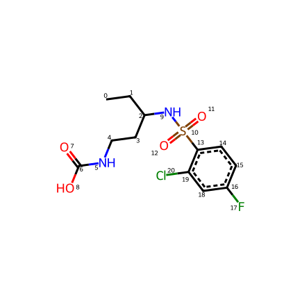 CCC(CCNC(=O)O)NS(=O)(=O)c1ccc(F)cc1Cl